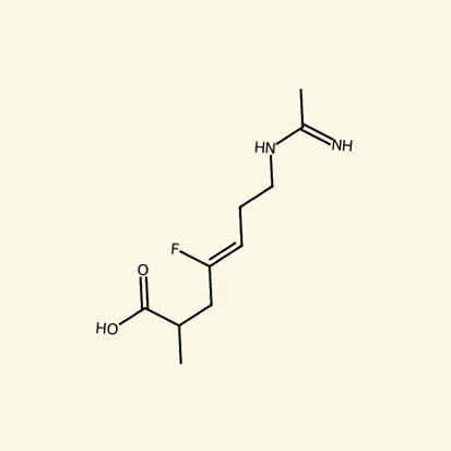 CC(=N)NCCC=C(F)CC(C)C(=O)O